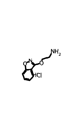 Cl.NCCOc1noc2ccccc12